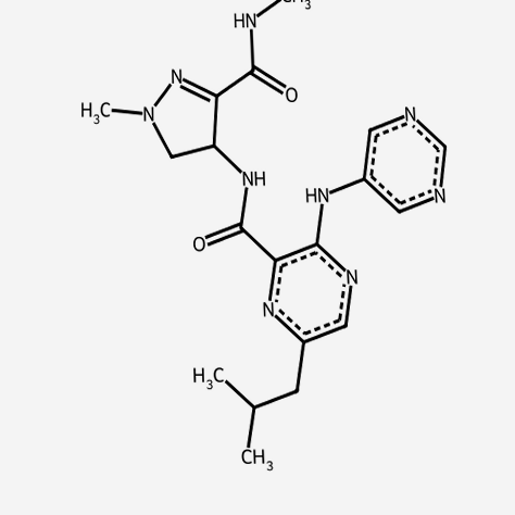 CNC(=O)C1=NN(C)CC1NC(=O)c1nc(CC(C)C)cnc1Nc1cncnc1